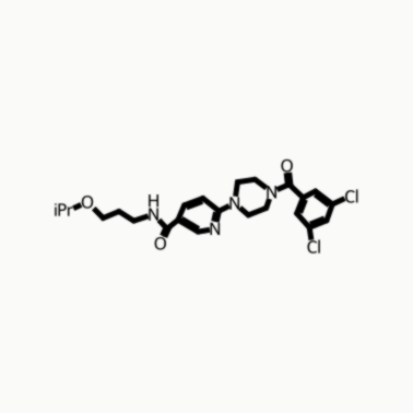 CC(C)OCCCNC(=O)c1ccc(N2CCN(C(=O)c3cc(Cl)cc(Cl)c3)CC2)nc1